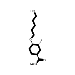 COC(=O)[C@H]1CC[C@H](OCCCCCO)[C@H](F)C1